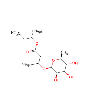 CCCCCCCC(CC(=O)O)OC(=O)CC(CCCCCCC)O[C@H]1O[C@@H](C)[C@H](O)[C@@H](O)[C@H]1O